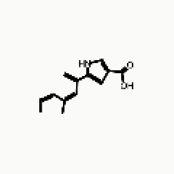 C=C(/C=C(C)\C=C/C)c1cc(C(=O)O)c[nH]1